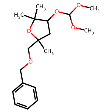 COC(OC)OC1CC(C)(COCc2ccccc2)OC1(C)C